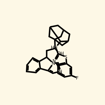 OC(CC1c2ccccc2-c2cncn21)C12CC3CC(C1)C(Nc1nc4ccc(F)cc4s1)C(C3)C2